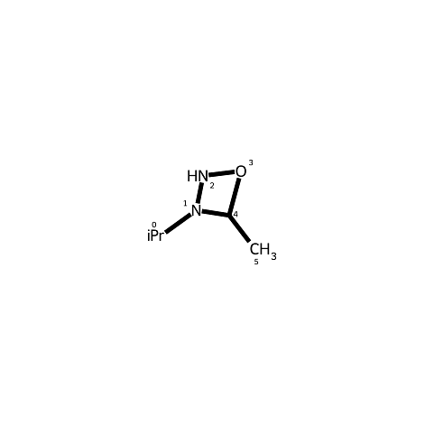 CC(C)N1NOC1C